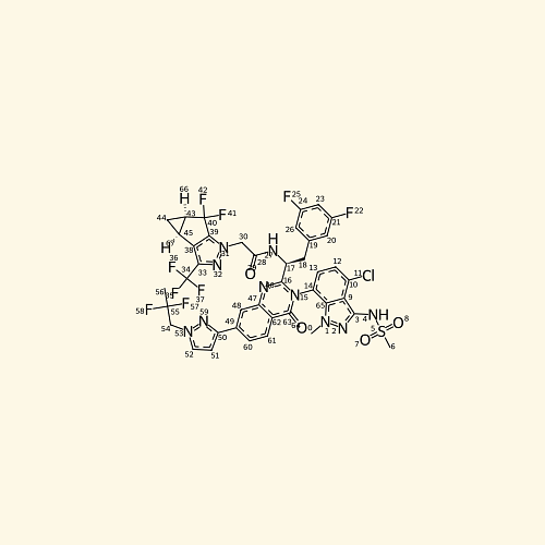 Cn1nc(NS(C)(=O)=O)c2c(Cl)ccc(-n3c([C@H](Cc4cc(F)cc(F)c4)NC(=O)Cn4nc(C(F)(F)F)c5c4C(F)(F)[C@@H]4C[C@H]54)nc4cc(-c5ccn(CC(C)(F)F)n5)ccc4c3=O)c21